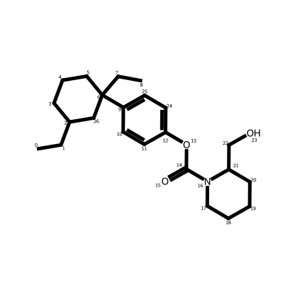 CCC1CCCC(CC)(c2ccc(OC(=O)N3CCCCC3CO)cc2)C1